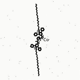 CCCCCCCCCCCCCCCCCCCCOc1c(-c2ccccc2)cc(N=C(C)c2cccc(C(C)=Nc3cc(-c4ccccc4)c(OCCCCCCCCCCCCCCCCCCCC)c(-c4ccccc4)c3)n2)cc1-c1ccccc1.[Co]